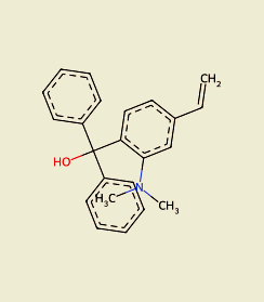 C=Cc1ccc(C(O)(c2ccccc2)c2ccccc2)c(N(C)C)c1